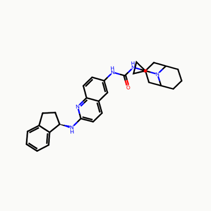 O=C(Nc1ccc2nc(N[C@@H]3CCc4ccccc43)ccc2c1)NC1CC2CCCC(C1)N2C1CC1